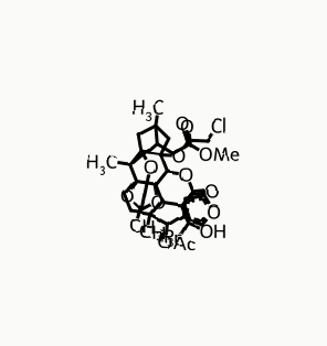 COC(=O)CC1C2(C)CC3(OC(=O)CCl)C4OC(=O)/C(=C(\O)C(C)C)C5C(C)(C(OC(C)=O)c6ccoc6)CCC67OC(C)(OC546)OC3(C2)C17C